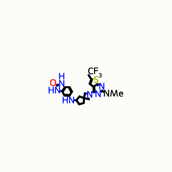 CNc1nc(N2CC3(CCC(Nc4ccc5[nH]c(=O)[nH]c5c4)C3)C2)c2cc(CC(F)(F)F)sc2n1